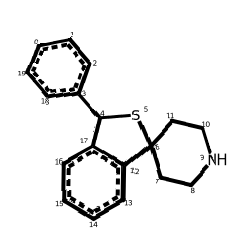 c1ccc(C2SC3(CCNCC3)c3ccccc32)cc1